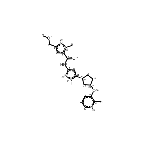 COCc1cc(C(=O)Nc2cc([C@H]3CC[C@@H](Oc4cccnc4C)C3)[nH]n2)n(C)n1